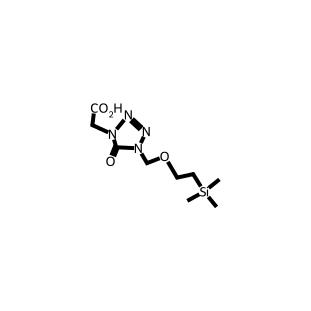 C[Si](C)(C)CCOCn1nnn(CC(=O)O)c1=O